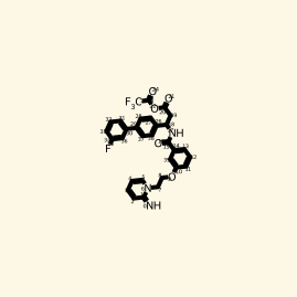 N=c1ccccn1CCOc1cccc(C(=O)NC(CC(=O)OC(=O)C(F)(F)F)c2ccc(-c3cccc(F)c3)cc2)c1